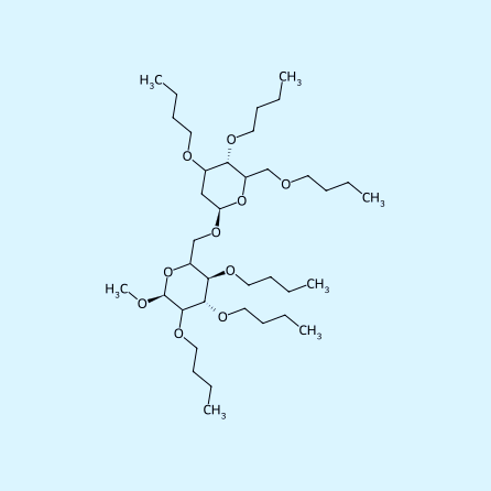 CCCCOCC1O[C@@H](OCC2O[C@H](OC)C(OCCCC)[C@@H](OCCCC)[C@@H]2OCCCC)CC(OCCCC)[C@@H]1OCCCC